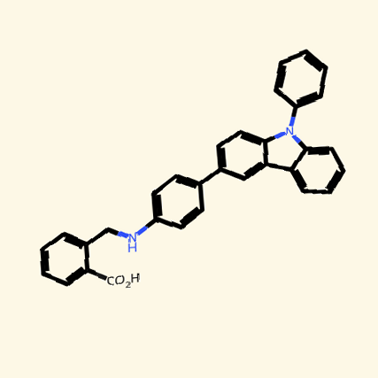 O=C(O)c1ccccc1CNc1ccc(-c2ccc3c(c2)c2ccccc2n3-c2ccccc2)cc1